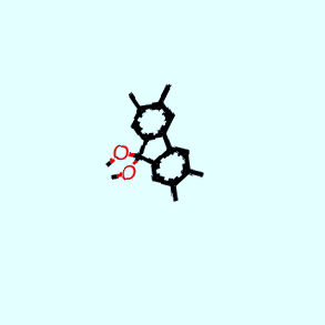 COC1(OC)c2cc(C)c(C)cc2-c2cc(C)c(C)cc21